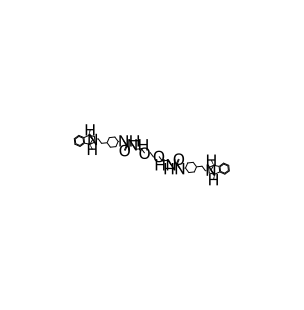 O=C(NCCOCCOCCNC(=O)NC1CCC(CCN2[C@@H]3CC[C@H]2c2ccccc23)CC1)NC1CCC(CCN2[C@@H]3CC[C@H]2c2ccccc23)CC1